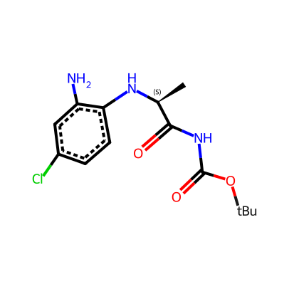 C[C@H](Nc1ccc(Cl)cc1N)C(=O)NC(=O)OC(C)(C)C